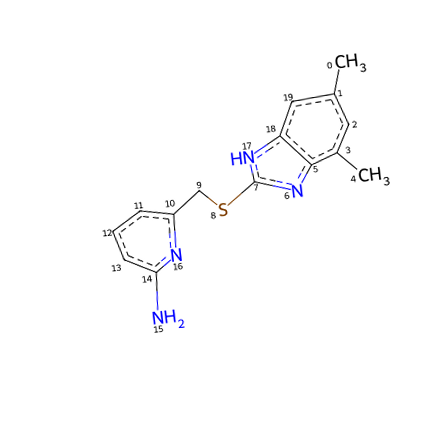 Cc1cc(C)c2nc(SCc3cccc(N)n3)[nH]c2c1